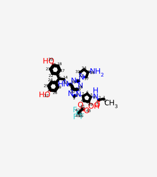 CCC(=O)N[C@H]1C[C@@H](n2cnc3c(NCC(c4ccc(O)cc4)c4ccc(O)cc4)nc(N4CC[C@@H](N)C4)nc32)[C@H](OC(=O)C(F)(F)F)[C@@H]1O